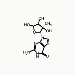 C[C@@]1(O)[C@H](O)C(O)O[C@H]1n1cnc2c(=O)[nH]c(N)nc21